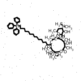 CC[C@H]1OC(=O)[C@H](C)[C@@H](O)[C@H](C)[C@@H](O[C@@H]2O[C@H](C)C[C@H](N(C)C)[C@H]2O)[C@](C)(O)C[C@@H](C)CN(C(=O)CCCCCCCCCCCCC[PH](c2ccccc2)(c2ccccc2)c2ccccc2)[C@H](C)[C@@H](O)[C@]1(C)O